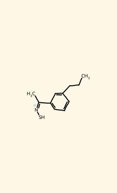 CCCc1cccc(/C(C)=N\S)c1